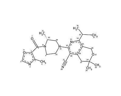 Cc1ncoc1C(=O)N1CCN(c2nc(C(C)C)c3c(c2C#N)CC(C)(C)OC3)C[C@H]1C